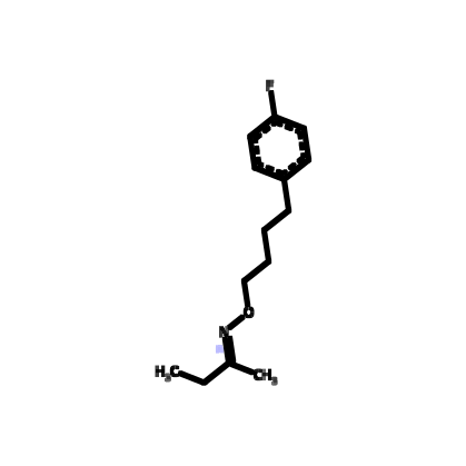 CC/C(C)=N/OCCCCc1ccc(F)cc1